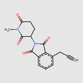 C#CCc1cccc2c1C(=O)N(C1CCC(=O)N(C)C1=O)C2=O